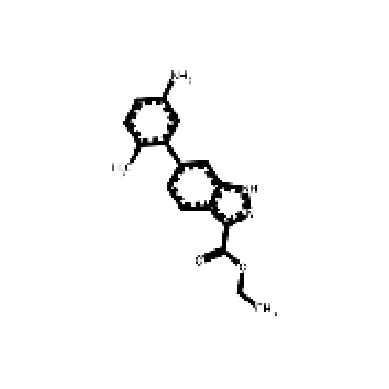 CCOC(=O)c1n[nH]c2cc(-c3cc(N)ccc3C)ccc12